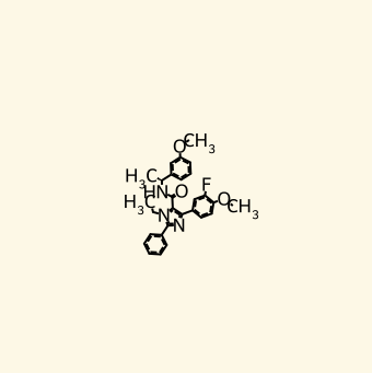 CCn1c(-c2ccccc2)nc(-c2ccc(OC)c(F)c2)c1C(=O)N[C@@H](C)c1cccc(OC)c1